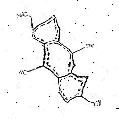 N#Cc1ccc2c(C#N)c3cc(C#N)ccc3c(C#N)c2c1